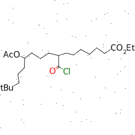 CCOC(=O)CCCCCCC(CCCC(CCCC(C)(C)C)OC(C)=O)C(=O)Cl